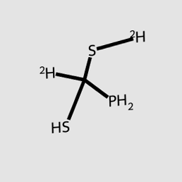 [2H]SC([2H])(P)S